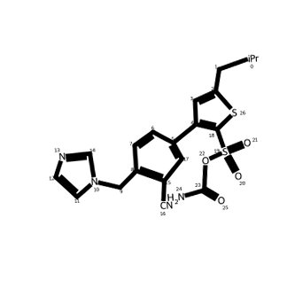 CC(C)Cc1cc(-c2ccc(Cn3ccnc3)c(C#N)c2)c(S(=O)(=O)OC(N)=O)s1